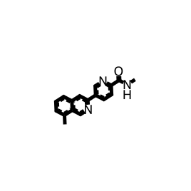 CNC(=O)c1ccc(-c2cc3cccc(C)c3cn2)cn1